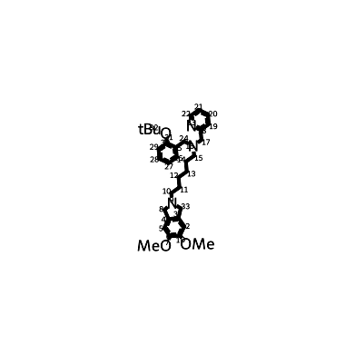 COc1cc2c(cc1OC)CN(CCCCCCN(Cc1ccccn1)Cc1ccccc1OC(C)(C)C)C2